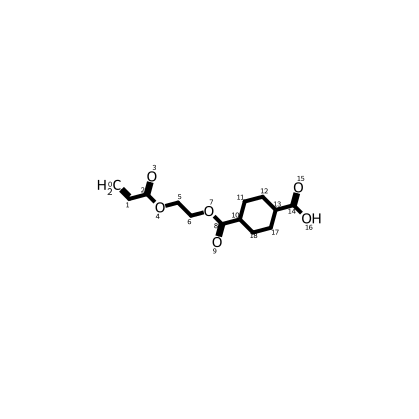 C=CC(=O)OCCOC(=O)C1CCC(C(=O)O)CC1